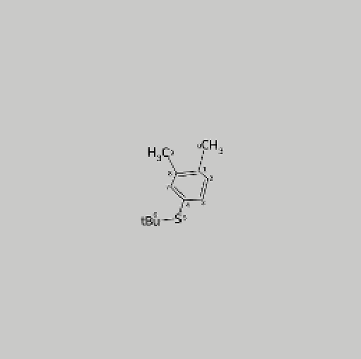 Cc1ccc(SC(C)(C)C)cc1C